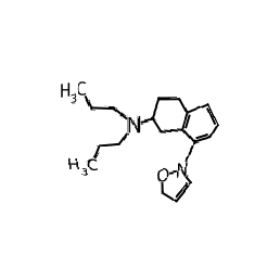 CCCN(CCC)C1CCc2cccc(N3C=CCO3)c2C1